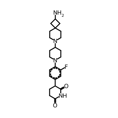 NC1CC2(CCN(C3CCN(c4ccc(C5CCC(=O)NC5=O)cc4F)CC3)CC2)C1